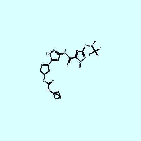 C[C@H](Oc1cc(C(=O)Nc2cc([C@H]3C[C@@H](OC(=O)NC45CC(C4)C5)CO3)[nH]n2)n(C)n1)C(F)(F)F